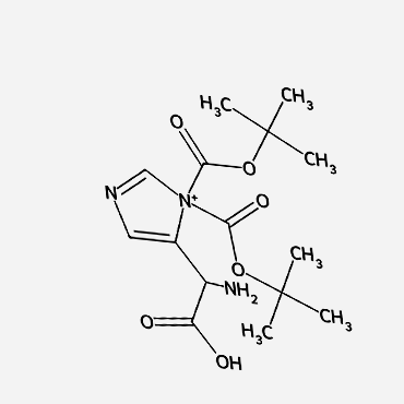 CC(C)(C)OC(=O)[N+]1(C(=O)OC(C)(C)C)C=NC=C1C(N)C(=O)O